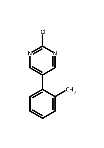 Cc1ccccc1-c1cnc(Cl)nc1